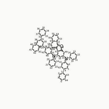 c1ccc(-c2ccc(N(c3ccccc3)c3cc(N(c4ccccc4)c4ccc(-c5cc(-c6ccccc6)cc6ccccc56)cc4)c4c(c3)oc3c5ccccc5ccc34)cc2)cc1